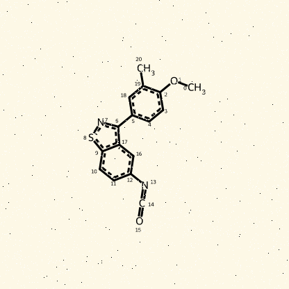 COc1ccc(-c2nsc3ccc(N=C=O)cc23)cc1C